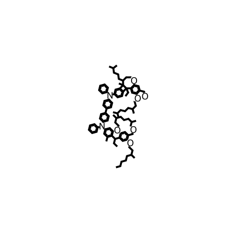 CCCCCC(C)CCOc1cc(C(CC)c2ccc(N(c3ccccc3)c3ccc(-c4ccc(N(c5ccccc5)c5ccc6c(c5)C5(C)C(CCCC(C)C)CCOc7cc(C=O)c(OCCC(C)CCCC(C)C)cc7C65CC)cc4)cc3)cc2C)c(OCCC(C)CCCC(C)C)cc1C=O